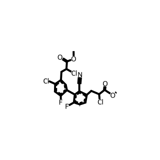 COC(=O)C(Cl)Cc1cc(-c2c(F)[c]cc(CC(Cl)C(=O)OC)c2C#N)c(F)cc1Cl